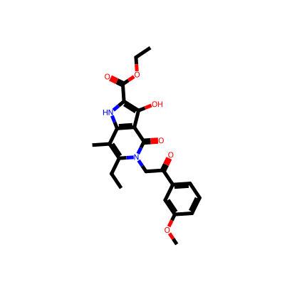 CCOC(=O)c1[nH]c2c(C)c(CC)n(CC(=O)c3cccc(OC)c3)c(=O)c2c1O